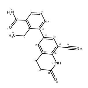 CCc1c(C(N)=O)ccnc1-c1cc(C#N)c2c(c1)CCC(=O)N2